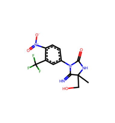 CC1(CO)NC(=O)N(c2ccc([N+](=O)[O-])c(C(F)(F)F)c2)C1=N